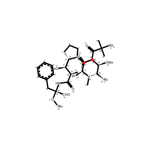 CC[C@H](C)[C@@H]([C@@H](CC(=O)N1CCC[C@H]1[C@H](OC)[C@@H](C)C(=O)N[C@@](C=O)(Cc1ccccc1)OC(C)(C)C)OC)N(C)[C@H](C(=O)NC(=O)C(C)(C)N)C(C)C